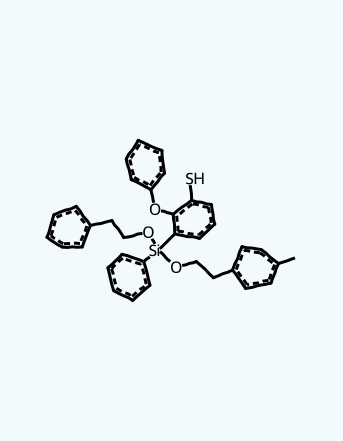 Cc1ccc(CCO[Si](OCCc2ccccc2)(c2ccccc2)c2cccc(S)c2Oc2ccccc2)cc1